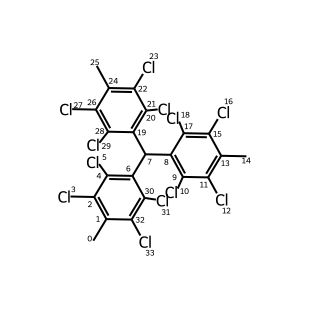 Cc1c(Cl)c(Cl)c(C(c2c(Cl)c(Cl)c(C)c(Cl)c2Cl)c2c(Cl)c(Cl)c(C)c(Cl)c2Cl)c(Cl)c1Cl